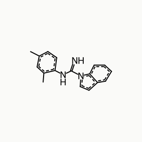 Cc1ccc(NC(=N)n2ccc3ccccc32)c(C)c1